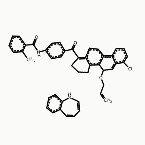 C1=CNc2ccccc2C=C1.C=CCOC1C=c2c(Cl)cccc2=c2ccc3c(c21)CCCC=3C(=O)c1ccc(NC(=O)c2ccccc2C)cc1